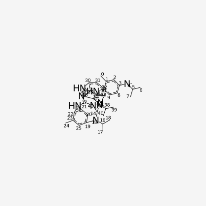 Cc1cc([N]C(C)C)ccc1NC1N=C2N(C(C)C)c3ccc(c(C)c3)NC3N1Nc1ccc(cc1C)N(C(C)C)N23